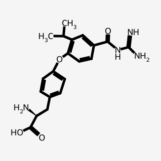 CC(C)c1cc(C(=O)NC(=N)N)ccc1Oc1ccc(C[C@H](N)C(=O)O)cc1